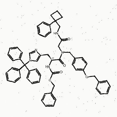 O=C(CN(Cc1ccc(OCc2ccccc2)cc1)C(=O)[C@H](Cc1cn(C(c2ccccc2)(c2ccccc2)c2ccccc2)cn1)NC(=O)OCc1ccccc1)NCC1(c2ccccc2)CCC1